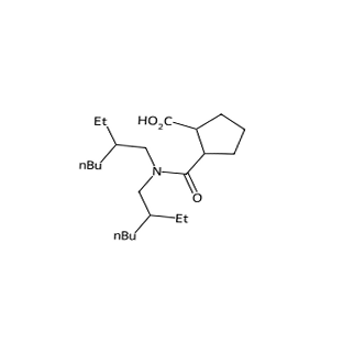 CCCCC(CC)CN(CC(CC)CCCC)C(=O)C1CCCC1C(=O)O